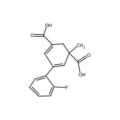 CC1(C(=O)O)C=C(c2ccccc2F)C=C(C(=O)O)C1